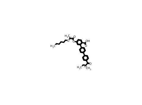 CCCCCCO[C@@H](C)C(=O)Oc1ccc(C(=O)O)c(-c2ccc(-c3ccc(C(=O)[C@H](C)CC)cc3)cc2)c1